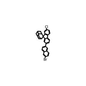 Clc1ccc2c(c1)C1(c3cc(-c4ccc5cc(Br)ccc5c4)ccc3-2)C2CC3CC(C2)CC1C3